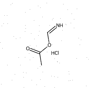 CC(=O)OC=N.Cl